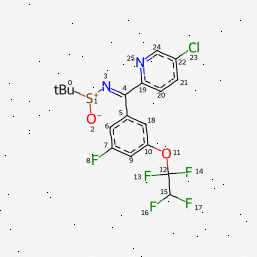 CC(C)(C)[S+]([O-])/N=C(\c1cc(F)cc(OC(F)(F)C(F)F)c1)c1ccc(Cl)cn1